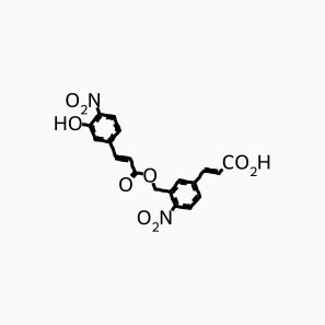 O=C(O)C=Cc1ccc([N+](=O)[O-])c(COC(=O)C=Cc2ccc([N+](=O)[O-])c(O)c2)c1